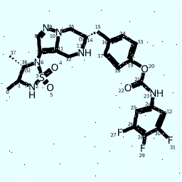 CC1NS(=O)(=O)N(c2cnn3c2CN[C@@H](Cc2ccc(OC(=O)Nc4cc(F)c(F)c(F)c4)cc2)C3)[C@H]1C